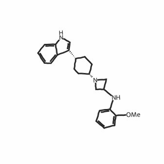 COc1ccccc1NC1CN([C@H]2CC[C@@H](c3c[nH]c4ccccc43)CC2)C1